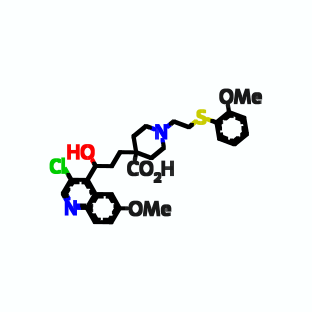 COc1ccc2ncc(Cl)c(C(O)CCC3(C(=O)O)CCN(CCSc4ccccc4OC)CC3)c2c1